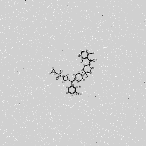 Cc1ncnc(C)c1C(=O)N1CCC(C)(N2CCN(C(c3cccc(F)c3)C3CN(S(=O)(=O)C4CC4)C3)[C@@H](C)C2)CC1